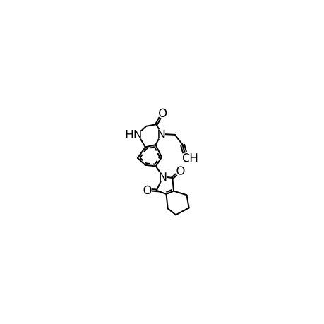 C#CCN1C(=O)CNc2ccc(N3C(=O)C4=C(CCCC4)C3=O)cc21